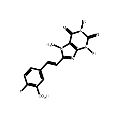 CCn1c(=O)c2c(nc(C=Cc3ccc(F)c(C(=O)O)c3)n2C)n(CC)c1=O